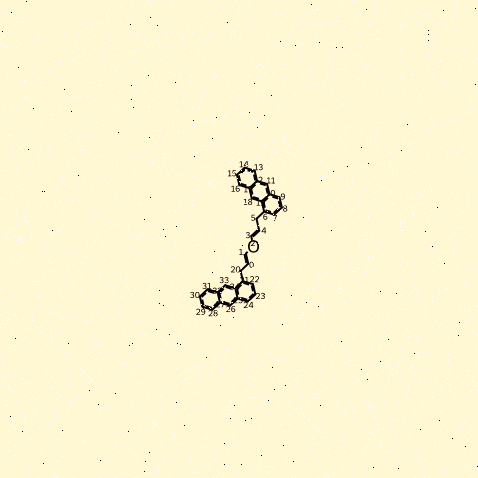 C(=COC=CCc1cccc2cc3ccccc3cc12)Cc1cccc2cc3ccccc3cc12